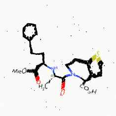 COC(=O)C(CCc1ccccc1)N[C@@H](C)C(=O)N1CCc2sccc2C1C(=O)O